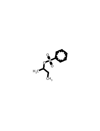 CCC(C)OS(=O)(=O)c1ccccc1